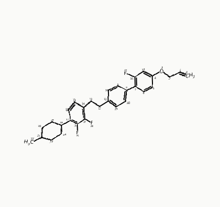 C=CCOc1ccc(-c2ccc(CCc3ccc(C4CCC(C)CC4)c(F)c3F)cc2)c(F)c1